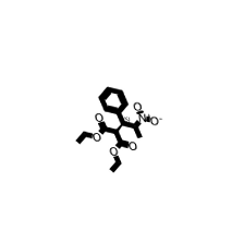 CCOC(=O)C(C(=O)OCC)[C@@H](c1ccccc1)C(C)[N+](=O)[O-]